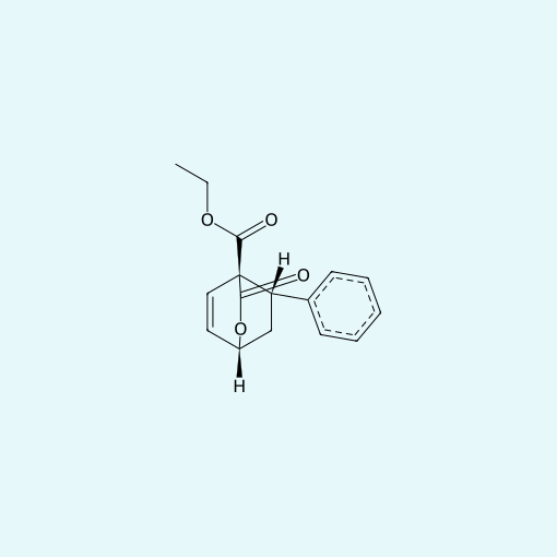 CCOC(=O)[C@@]12C=C[C@@H](C[C@H]1c1ccccc1)OC2=O